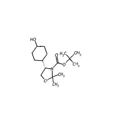 CC(C)(C)OC(=O)N1[C@@H](C2CCC(O)CC2)COC1(C)C